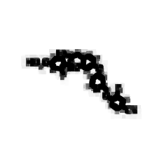 N#Cc1ccc(OCc2cc(Oc3ccc(Cc4nc5c(F)cc(C(=O)O)cc5[nH]4)c(C#N)c3)ccn2)c(F)c1